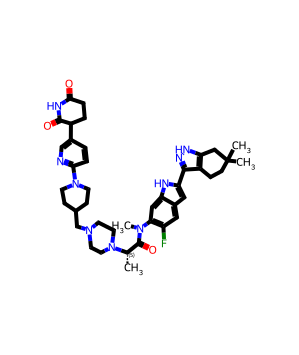 C[C@@H](C(=O)N(C)c1cc2[nH]c(-c3n[nH]c4c3CCC(C)(C)C4)cc2cc1F)N1CCN(CC2CCN(c3ccc(C4CCC(=O)NC4=O)cn3)CC2)CC1